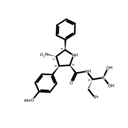 COc1ccc([C@H]2[C@H]([N+](=O)[O-])[C@@H](c3ccccc3)N[C@H]2C(=O)N[C@@H](CC(C)C)B(O)O)cc1